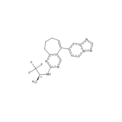 C[C@H](Nc1ncc2c(n1)CCCC=C2c1ccn2ncnc2c1)C(F)(F)F